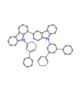 C1=CC(c2cc(-c3ccccc3)cc(-n3c4ccccc4c4cc(-c5cccc6c7ccccc7n(C7=CC(c8ccccc8)=CCC7)c56)ccc43)c2)=CCC1